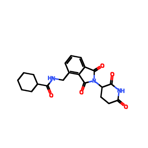 O=C1CCC(N2C(=O)c3cccc(CNC(=O)C4CCCCC4)c3C2=O)C(=O)N1